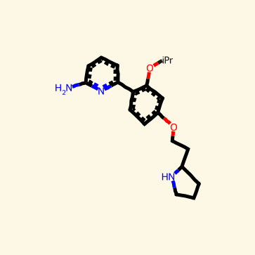 CC(C)Oc1cc(OCCC2CCCN2)ccc1-c1cccc(N)n1